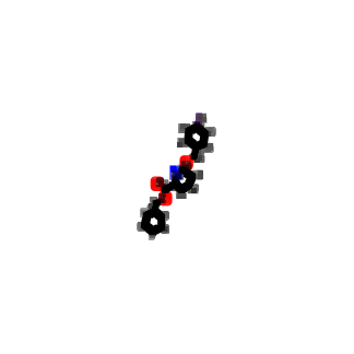 O=C(OCc1ccccc1)c1cccc(OCc2ccc(I)cc2)n1